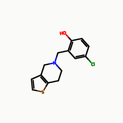 Oc1ccc(Cl)cc1CN1CCc2sccc2C1